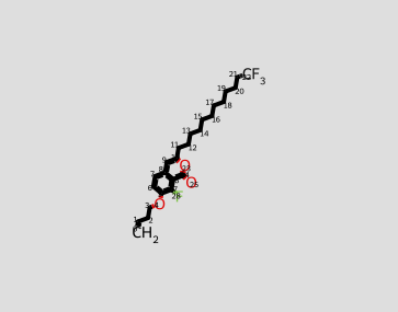 C=CCCOc1ccc2cc(CCCCCCCCCCCC(F)(F)F)oc(=O)c2c1F